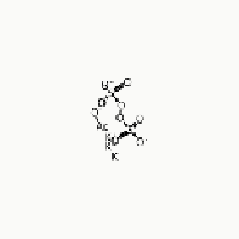 CC(=O)[O-].O=S(=O)([O-])OOS(=O)(=O)[O-].[K+].[K+].[K+]